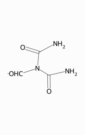 NC(=O)N([C]=O)C(N)=O